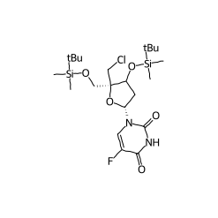 CC(C)(C)[Si](C)(C)OC[C@@]1(CCl)O[C@@H](n2cc(F)c(=O)[nH]c2=O)CC1O[Si](C)(C)C(C)(C)C